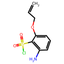 C=CCOc1cccc(N)c1S(=O)(=O)Cl